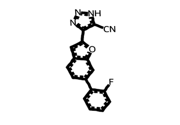 N#Cc1[nH]nnc1-c1cc2ccc(-c3ccccc3F)cc2o1